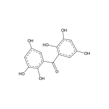 O=C(c1cc(O)cc(O)c1O)c1cc(O)cc(O)c1O